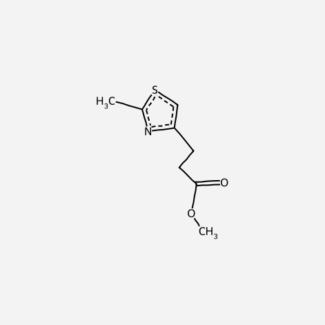 COC(=O)CCc1csc(C)n1